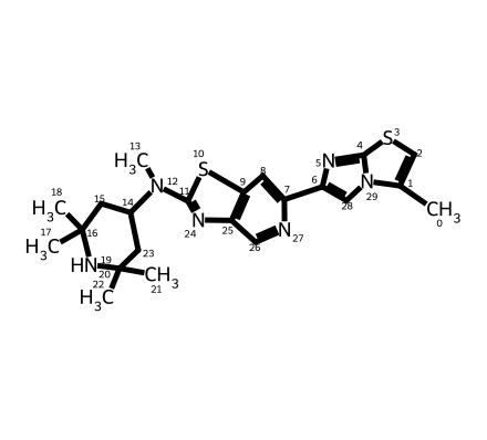 Cc1csc2nc(-c3cc4sc(N(C)C5CC(C)(C)NC(C)(C)C5)nc4cn3)cn12